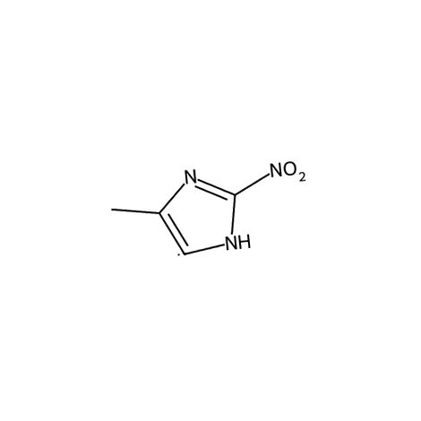 Cc1[c][nH]c([N+](=O)[O-])n1